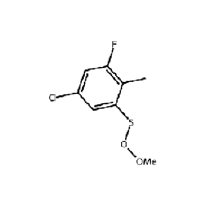 COOSc1cc(Cl)cc(F)c1C